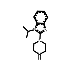 CC(C)n1c(N2CCNCC2)nc2ccccc21